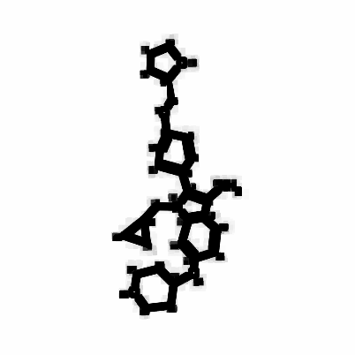 Nc1c(-c2ccc(OC[C@H]3CCCO3)cc2)n(CC2CC2)c2cc(OC3CCOCC3)ccc12